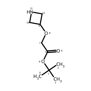 CC(C)(C)OC(=O)COC1CNC1